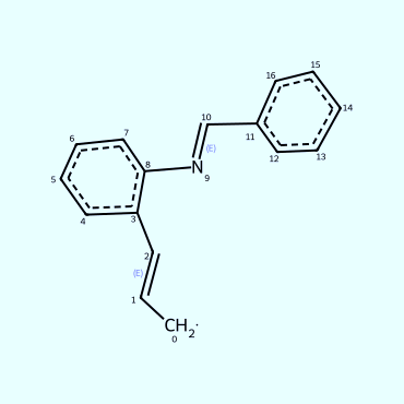 [CH2]/C=C/c1ccccc1/N=C/c1ccccc1